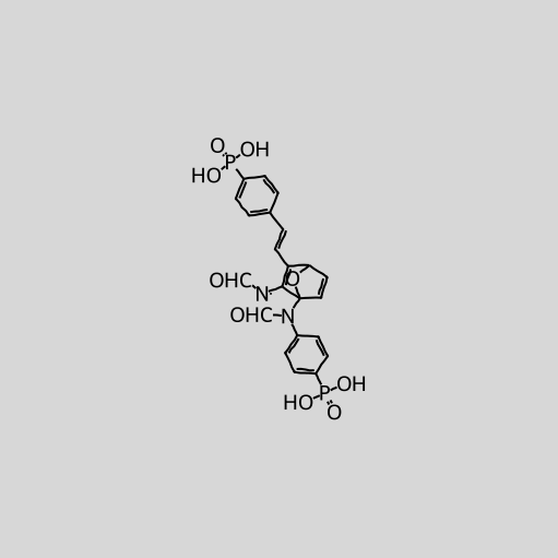 O=C[N]C1=C(C=Cc2ccc(P(=O)(O)O)cc2)C2C=CC1(N(C=O)c1ccc(P(=O)(O)O)cc1)O2